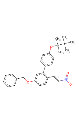 CC(C)(C)[Si](C)(C)Oc1ccc(-c2cc(OCc3ccccc3)ccc2/C=C/[N+](=O)[O-])cc1